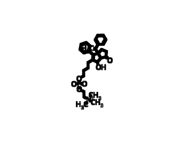 C=C(c1ccccc1)C12CCC(=O)C1C(O)C(CCCCOP(=O)([O-])OCC[N+](C)(C)C)=C2c1ccccc1